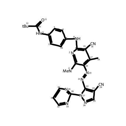 CNc1nc(Nc2ccc(NC(=O)C(C)(C)C)cc2)c(C#N)c(C)c1/N=N/c1c(C#N)cnn1-c1ncccn1